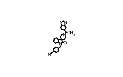 C[C@H](c1ccc2scnc2c1)N1CCC2(CC1)C(=O)N(Cc1ccc(C#N)cc1)c1ccccc12